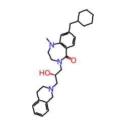 CN1CCN(C[C@H](O)CN2CCc3ccccc3C2)C(=O)c2ccc(CC3CCCCC3)cc21